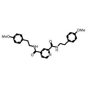 COc1ccc(CCNC(=O)c2ccnc(C(=O)NCCc3ccc(OC)cc3)c2)cc1